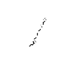 C[Si](C)(O)CCCNC(=O)OCCOCCOCCn1cc(CCCC(=O)O)nn1